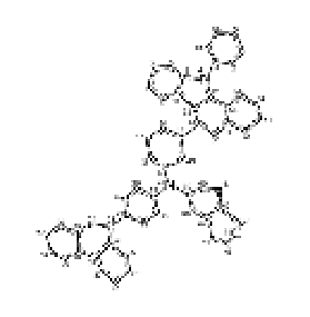 c1ccc(-n2c3ccccc3c3c(-c4cccc(N(c5ccc(-c6cc7ccccc7c7ccccc67)cc5)c5ccc6ccccc6c5)c4)cc4ccccc4c32)cc1